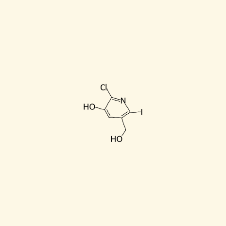 OCc1cc(O)c(Cl)nc1I